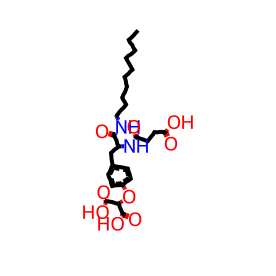 CCCCCCCCCCNC(=O)C(Cc1ccc(OC(C(=O)O)C(=O)O)cc1)NC(=O)CCC(=O)O